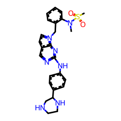 CN(c1ccccc1Cn1ccc2cnc(Nc3ccc(C4CNCCN4)cc3)nc21)S(C)(=O)=O